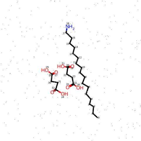 CCCCCCCCCCCCCCCCCCN.O=C(O)CCC(=O)O.O=C(O)CCC(=O)O